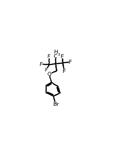 CC(COc1ccc(Br)cc1)(C(F)(F)F)C(F)(F)F